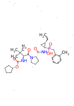 C=C[C@@H]1C[C@]1(NC(=O)[C@@H]1CCCN1C(=O)[C@@H](NC(=O)OC1CCCC1)C(C)(C)C)P(=O)(O)Cc1ccccc1C